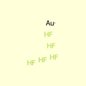 F.F.F.F.F.[Au]